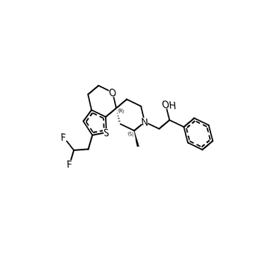 C[C@H]1C[C@@]2(CCN1CC(O)c1ccccc1)OCCc1cc(CC(F)F)sc12